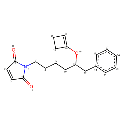 O=C1C=CC(=O)N1CCCCC(Cc1ccccc1)OC1=CCC1